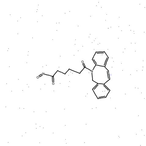 O=NC(=O)CCCCC(=O)N1Cc2ccccc2/C=C\c2ccccc21